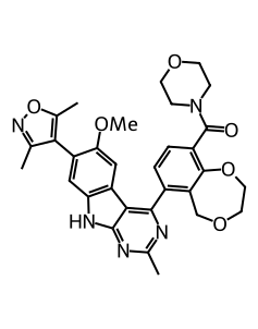 COc1cc2c(cc1-c1c(C)noc1C)[nH]c1nc(C)nc(-c3ccc(C(=O)N4CCOCC4)c4c3COCCO4)c12